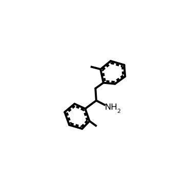 Cc1ccccc1CC(N)c1ccccc1C